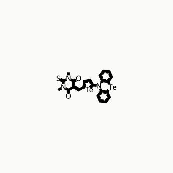 CN1C(=O)C(=Cc2ccc(N3c4ccccc4[Te]c4ccccc43)[te]2)C(=O)N(C)C1=S